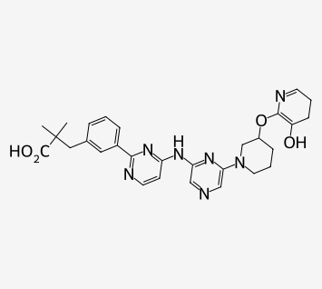 CC(C)(Cc1cccc(-c2nccc(Nc3cncc(N4CCCC(OC5=C(O)CCC=N5)C4)n3)n2)c1)C(=O)O